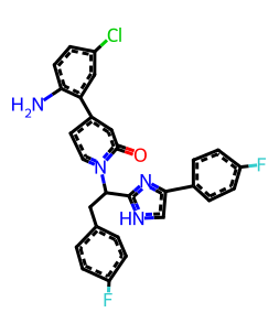 Nc1ccc(Cl)cc1-c1ccn(C(Cc2ccc(F)cc2)c2nc(-c3ccc(F)cc3)c[nH]2)c(=O)c1